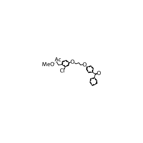 CO[C@@H](Cc1ccc(OCCCOc2ccc(C(=O)c3ccccc3)cc2)cc1Cl)C(C)=O